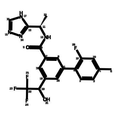 Cc1ccc(-c2cc(C(=O)N[C@@H](C)c3nnc[nH]3)cc(C(O)C(F)(F)F)c2)c(F)c1